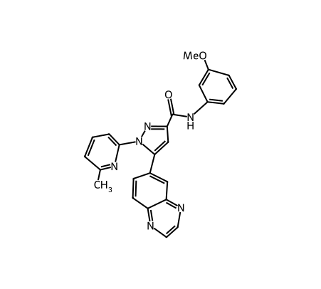 COc1cccc(NC(=O)c2cc(-c3ccc4nccnc4c3)n(-c3cccc(C)n3)n2)c1